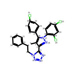 Cc1c(-c2nnnn2CCc2ccccc2)nn(-c2ccc(Cl)cc2Cl)c1-c1ccc(Cl)cc1